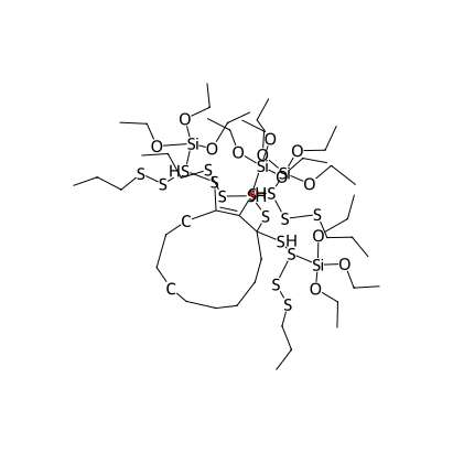 CCCSS[SH](SC1=C(S[SH](SSCCC)[Si](OCC)(OCC)OCC)C(S[SH](SSCCC)[Si](OCC)(OCC)OCC)(S[SH](SSCCC)[Si](OCC)(OCC)OCC)CCCCCCCCC1)[Si](OCC)(OCC)OCC